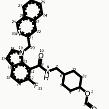 O=COC1CCC(CNC(=O)c2c(F)ccc3ccn(Cc4cc5ccccc5cn4)c23)CC1